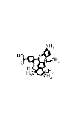 CCN1c2ccc(N)cc2N=C(c2ccc(C(=O)O)cc2F)c2cc3c(cc21)C(C)(C)CCC3(C)C